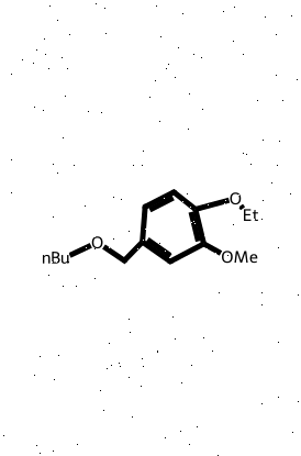 CCCCOCc1ccc(OCC)c(OC)c1